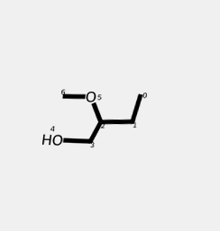 CCC(CO)OC